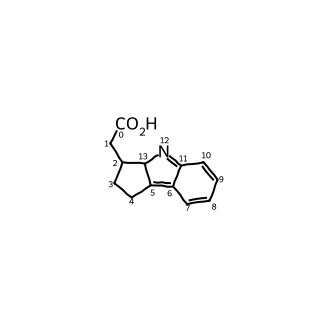 O=C(O)CC1CCC2=c3ccccc3=NC21